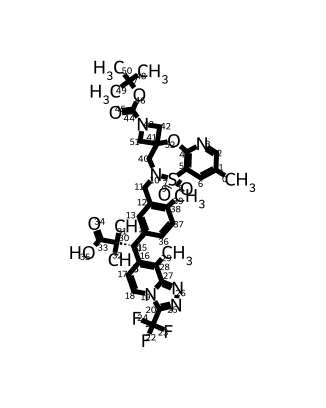 Cc1cnc2c(c1)S(=O)(=O)N(Cc1cc([C@H](c3ccn4c(C(F)(F)F)nnc4c3C)C(C)(C)C(=O)O)ccc1C)CC1(CN(C(=O)OC(C)(C)C)C1)O2